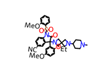 CCOc1ccc(OC)cc1C1(N2CC3(CN(C4CCN(C)CC4)C3)C2)C(=O)N(S(=O)(=O)c2ccccc2OC)c2ccc(C#N)cc21